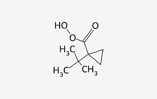 CC(C)(C)C1(C(=O)OO)CC1